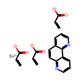 C=CC(=O)[O-].C=CC(=O)[O-].C=CC(=O)[O-].[Eu+3].c1cnc2c(c1)ccc1ncccc12